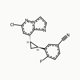 N#Cc1ccc(F)c([C@H]2C[C@@H]2c2cc(Cl)nn3ccnc23)c1